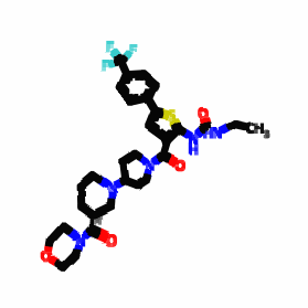 CCNC(=O)Nc1sc(-c2ccc(C(F)(F)F)cc2)cc1C(=O)N1CCC(N2CCC[C@@H](C(=O)N3CCOCC3)C2)CC1